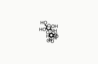 O=[N+]([O-])c1ccc(N[C@@H]2C(O)OC(CO)[C@H](O)C2O)c2nonc12